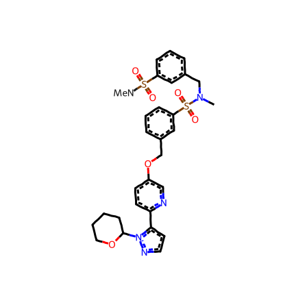 CNS(=O)(=O)c1cccc(CN(C)S(=O)(=O)c2cccc(COc3ccc(-c4ccnn4C4CCCCO4)nc3)c2)c1